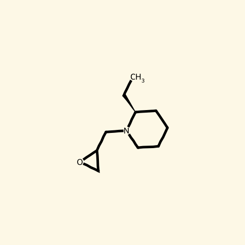 CC[C@H]1CCCCN1CC1CO1